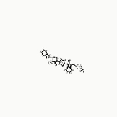 CC(C)(C)[Si](C)(C)OCCn1c(=O)n([C@H]2CC[C@H](n3ncc(NCC4CCCOC4)c(Cl)c3=O)CC2)c2ccccc21